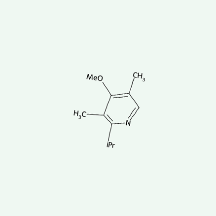 COc1c(C)cnc(C(C)C)c1C